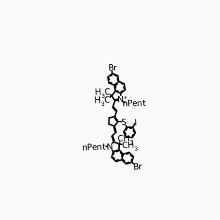 CCCCCN1/C(=C/C=C2\CCC(/C=C/C3=[N+](CCCCC)c4ccc5cc(Br)ccc5c4C3(C)C)=C2Sc2ccccc2I)C(C)(C)c2c1ccc1cc(Br)ccc21